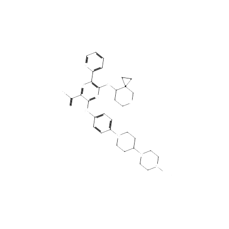 CN1CCN(C2CCN(c3ccc(Nc4nc(NC5CCOCC56CC6)c(-c5ccccn5)nc4C(N)=O)cc3)CC2)CC1